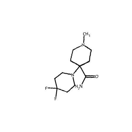 CN1CCC(C(N)=O)(N2CCC(F)(F)CC2)CC1